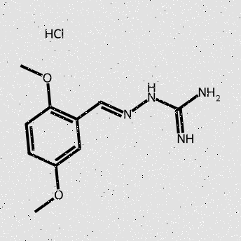 COc1ccc(OC)c(C=NNC(=N)N)c1.Cl